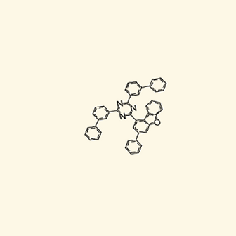 c1ccc(-c2cccc(-c3nc(-c4cccc(-c5ccccc5)c4)nc(-c4cc(-c5ccccc5)cc5oc6ccccc6c45)n3)c2)cc1